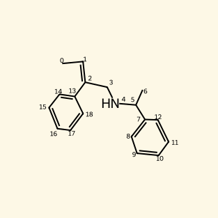 CC=C(CNC(C)c1ccccc1)c1ccccc1